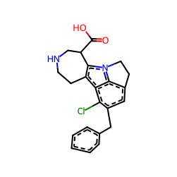 O=C(O)C1CNCCc2c1n1c3c(cc(Cc4ccccc4)c(Cl)c23)CC1